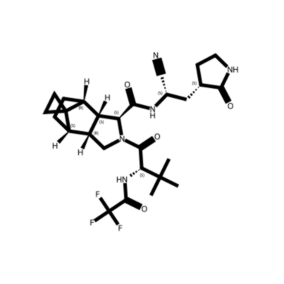 CC(C)(C)[C@H](NC(=O)C(F)(F)F)C(=O)N1C[C@H]2[C@@H]([C@H]1C(=O)N[C@H](C#N)C[C@@H]1CCNC1=O)[C@H]1CC[C@@H]2C12CC2